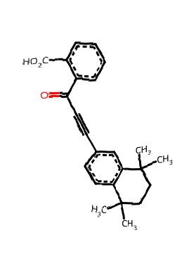 CC1(C)CCC(C)(C)c2cc(C#CC(=O)c3ccccc3C(=O)O)ccc21